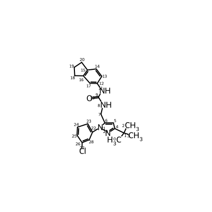 CC(C)(C)c1cc(CNC(=O)Nc2ccc3c(c2)CCC3)n(-c2cccc(Cl)c2)n1